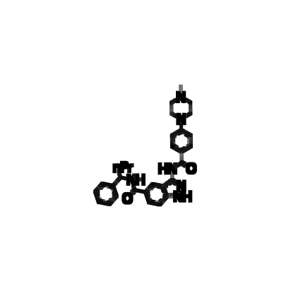 CCCC(NC(=O)c1ccc2[nH]nc(NC(=O)c3ccc(N4CCN(C)CC4)cc3)c2c1)c1ccccc1